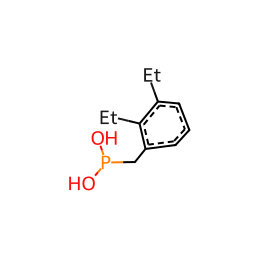 CCc1cccc(CP(O)O)c1CC